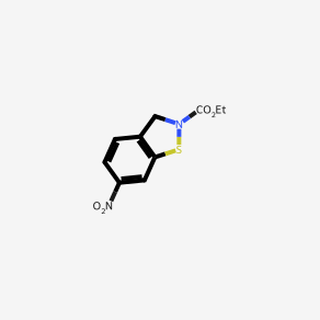 CCOC(=O)N1Cc2ccc([N+](=O)[O-])cc2S1